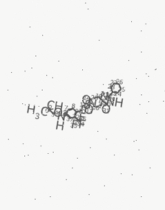 CC(C)CONc1ccc(CCS(=O)(=O)N2CCC3(CC2)N=C(C2CCCCC2)NC3=O)c(C(F)(F)F)c1